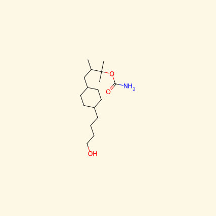 CC(CC1CCC(CCCCO)CC1)C(C)(C)OC(N)=O